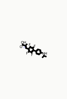 C/C(=C\c1c(F)c(F)c(-c2ccc(NC(C)C)cc2)c(F)c1F)C(=O)O